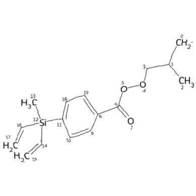 [CH2]C(C)[CH]OOC(=O)c1ccc([Si](C)(C=C)C=C)cc1